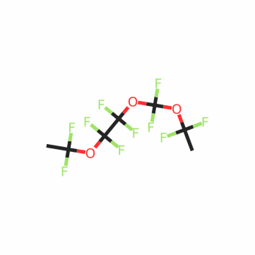 CC(F)(F)OC(F)(F)OC(F)(F)C(F)(F)OC(C)(F)F